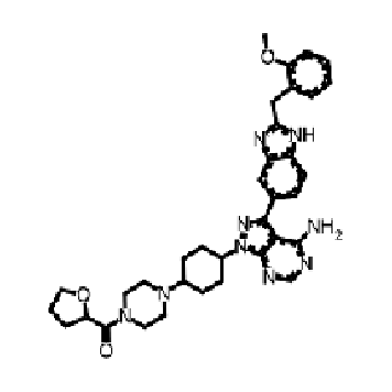 COc1ccccc1Cc1nc2cc(-c3nn(C4CCC(N5CCN(C(=O)C6CCCO6)CC5)CC4)c4ncnc(N)c34)ccc2[nH]1